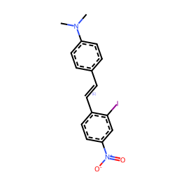 CN(C)c1ccc(/C=C/c2ccc([N+](=O)[O-])cc2I)cc1